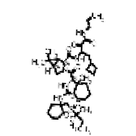 C=CCNC(=O)C(=O)C(CC1CCC1)NC(=O)[C@@H]1C2[C@H](CN1C(=O)[C@@H](NC(=O)NC1(CS(=O)(=O)C(C)(C)CC)CCCCC1)C1(C)CCCCC1)C2(C)C